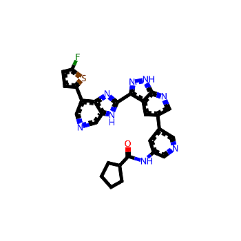 O=C(Nc1cncc(-c2cnc3[nH]nc(-c4nc5c(-c6ccc(F)s6)cncc5[nH]4)c3c2)c1)C1CCCC1